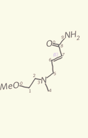 COCCN(C)C/C=C/C(N)=O